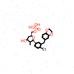 CCc1ccc([C@@H]2O[C@H](COP(=O)(O)O)C[C@H](O)C2C)cc1Cc1ccc2c(c1)OCCO2